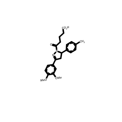 COc1ccc(C2=NN(C(=O)CCCC(=O)O)C(c3ccc(C)cc3)C2)cc1OC